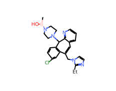 CCc1nccn1CC1=Cc2cccnc2C(N2CCN(B(C)O)CC2)c2ccc(Cl)cc21